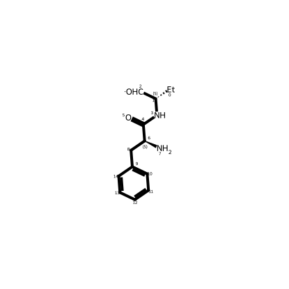 CC[C@@H]([C]=O)NC(=O)[C@@H](N)Cc1ccccc1